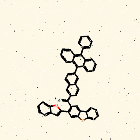 C=C(c1ccc2cc(-c3c4ccccc4c(-c4ccccc4)c4ccccc34)ccc2c1)c1cc2c(cc1-c1cc3ccccc3o1)sc1ccccc12